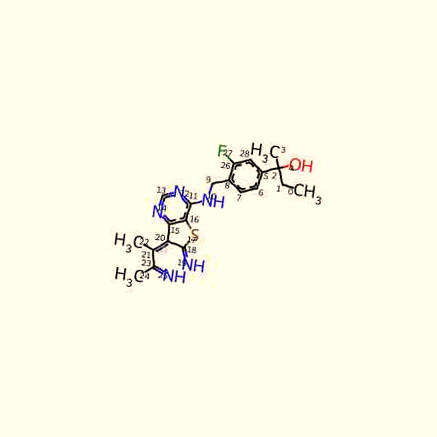 CCC(C)(O)c1ccc(CNc2ncnc3c2SC(=N)/C3=C(/C)C(C)=N)c(F)c1